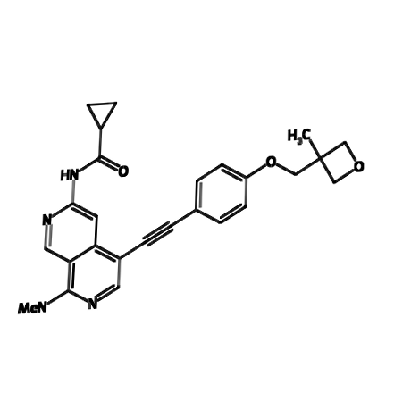 CNc1ncc(C#Cc2ccc(OCC3(C)COC3)cc2)c2cc(NC(=O)C3CC3)ncc12